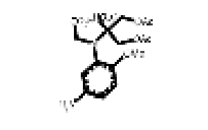 COc1ccc(N)cc1N(CC(=O)O)C(COC(C)=O)(COC(C)=O)C(=O)O